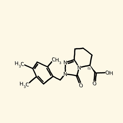 Cc1cc(C)c(Cn2nc3n(c2=O)[C@H](C(=O)O)CCC3)cc1C